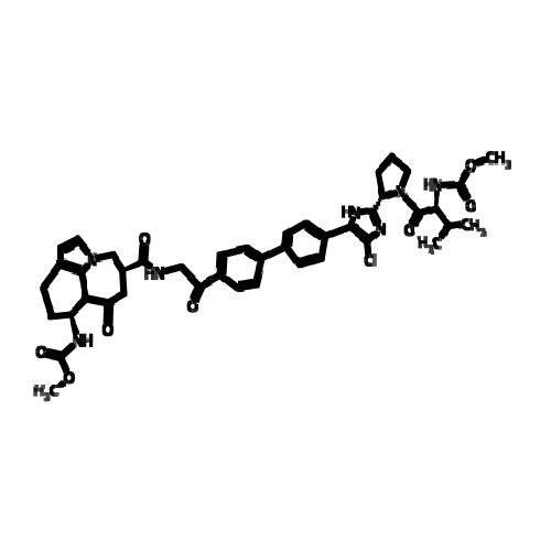 COC(=O)N[C@H]1CCc2ccn3c2C1C(=O)C[C@H](C(=O)NCC(=O)c1ccc(-c2ccc(-c4[nH]c([C@@H]5CCCN5C(=O)[C@@H](NC(=O)OC)C(C)C)nc4Cl)cc2)cc1)C3